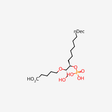 CCCCCCCCCCCCCCCC[C@@H](OP(=O)(O)O)[C@H](CO)OCCCCC(=O)O